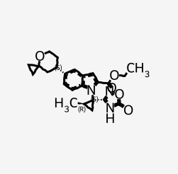 CCOC(=O)c1cc2cc([C@H]3CCOC4(CC4)C3)ccc2n1[C@@]1(c2noc(=O)[nH]2)C[C@H]1C